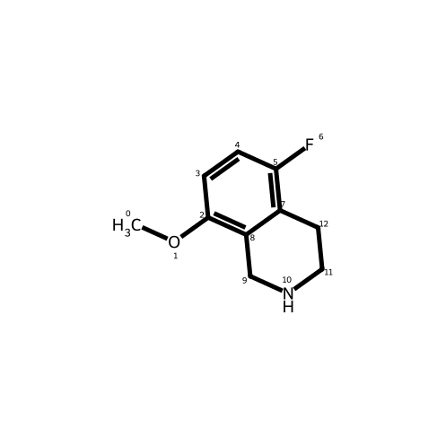 COc1ccc(F)c2c1CNCC2